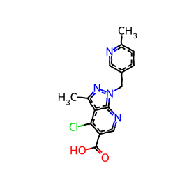 Cc1ccc(Cn2nc(C)c3c(Cl)c(C(=O)O)cnc32)cn1